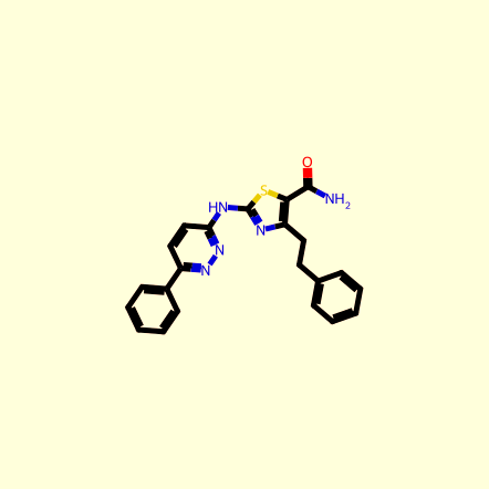 NC(=O)c1sc(Nc2ccc(-c3ccccc3)nn2)nc1CCc1ccccc1